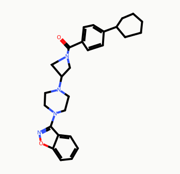 O=C(c1ccc(C2CCCCC2)cc1)N1CC(N2CCN(c3noc4ccccc34)CC2)C1